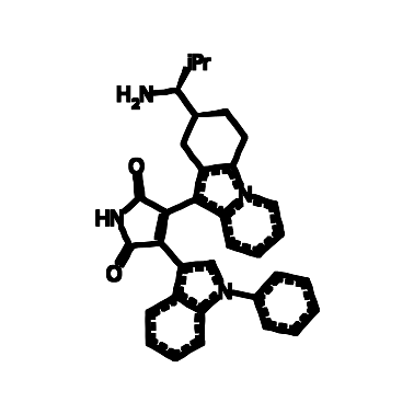 CC(C)[C@H](N)[C@H]1CCc2c(c(C3=C(c4cn(-c5ccccc5)c5ccccc45)C(=O)NC3=O)c3ccccn23)C1